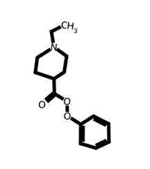 CCN1CCC(C(=O)OOc2ccccc2)CC1